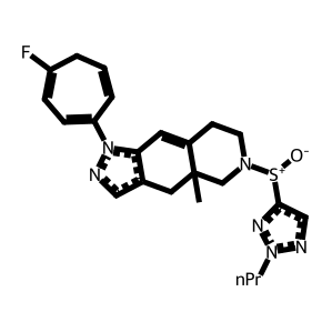 CCCn1ncc([S+]([O-])N2CCC3=Cc4c(cnn4C4=CC=C(F)CC=C4)CC3(C)C2)n1